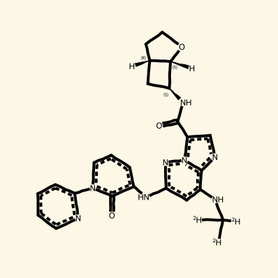 [2H]C([2H])([2H])Nc1cc(Nc2cccn(-c3ccccn3)c2=O)nn2c(C(=O)N[C@H]3C[C@@H]4CCO[C@@H]43)cnc12